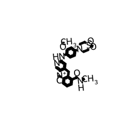 [C-]#[N+]c1cnc(Nc2ccc(N3CCS(=O)(=O)CC3)cc2OC)cc1Cc1ccccc1C(=O)NC